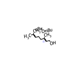 CC(C)=CCC/C(C)=C/CO.CCCCOCCCC